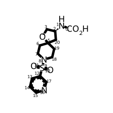 O=C(O)N[C@H]1COC2(CCN(S(=O)(=O)c3cccnc3)CC2)C1